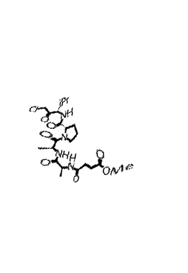 COC(=O)CCC(=O)N[C@@H](C)C(=O)N[C@@H](C)C(=O)N1CCC[C@H]1C(=O)N[C@H](C(=O)CCl)C(C)C